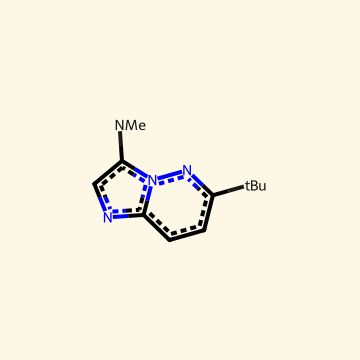 CNc1cnc2ccc(C(C)(C)C)nn12